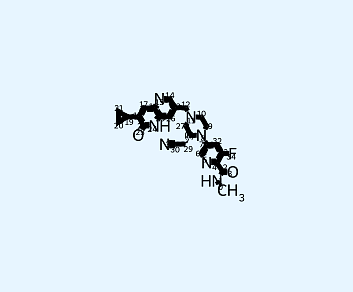 CNC(=O)c1ncc(N2CCN(Cc3cnc4cc(C5CC5)c(=O)[nH]c4c3)C[C@H]2CC#N)cc1F